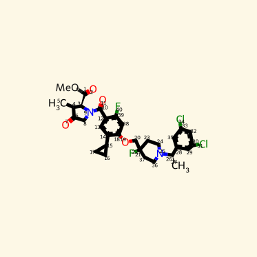 COC(=O)[C@@H]1C(C)C(=O)CN1C(=O)c1cc(C2CC2)c(OCC2(F)CCN([C@@H](C)c3cc(Cl)cc(Cl)c3)CC2)cc1F